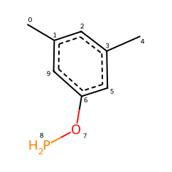 Cc1cc(C)cc(OP)c1